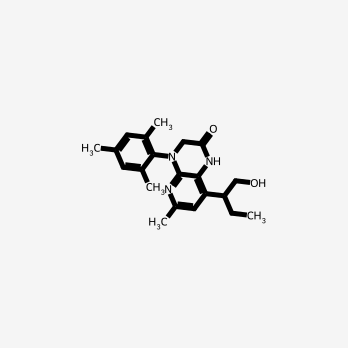 CCC(CO)c1cc(C)nc2c1NC(=O)CN2c1c(C)cc(C)cc1C